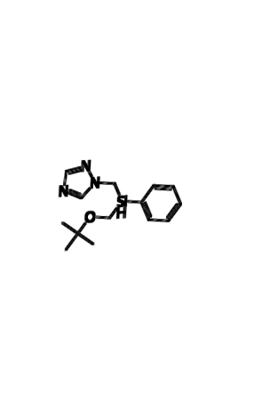 CC(C)(C)OC[SiH](Cn1cncn1)c1ccccc1